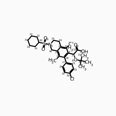 Cc1c2c(c(C)c([C@H](OC(C)(C)C)C(=O)O)c1-c1ccc(Cl)cc1)CCN(S(=O)(=O)C1CCCCC1)C2